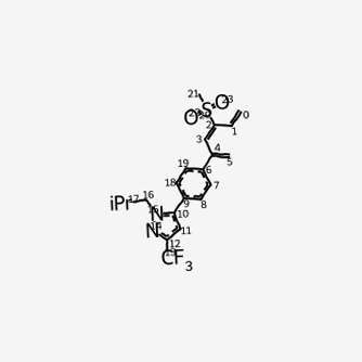 C=C/C(=C\C(=C)c1ccc(-c2cc(C(F)(F)F)nn2CC(C)C)cc1)S(C)(=O)=O